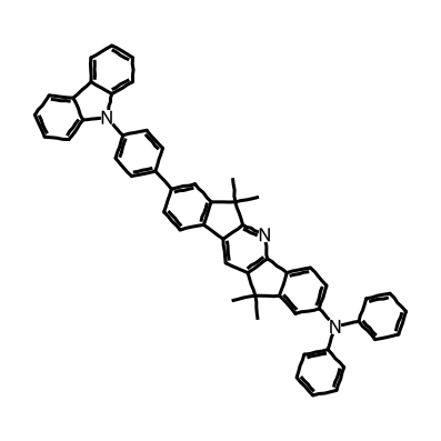 CC1(C)c2cc(N(c3ccccc3)c3ccccc3)ccc2-c2nc3c(cc21)-c1ccc(-c2ccc(-n4c5ccccc5c5ccccc54)cc2)cc1C3(C)C